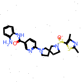 Cc1nc(C)c([S+]([O-])N2CCC3(CCN(c4ccc(C(=O)Nc5ccccc5N)cn4)C3)C2)s1